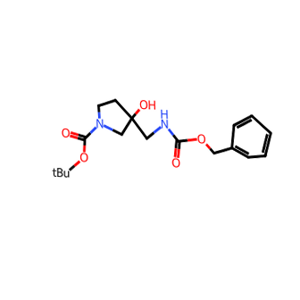 CC(C)(C)OC(=O)N1CCC(O)(CNC(=O)OCc2ccccc2)C1